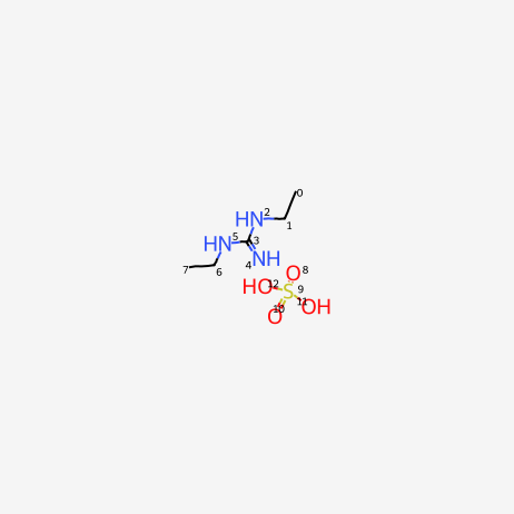 CCNC(=N)NCC.O=S(=O)(O)O